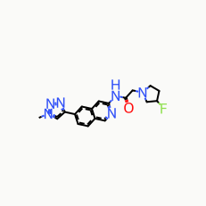 Cn1cc(-c2ccc3cnc(NC(=O)CN4CCC(F)C4)cc3c2)nn1